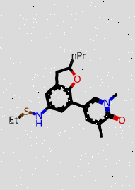 CCCC1Cc2cc(NSCC)cc(-c3cc(C)c(=O)n(C)c3)c2O1